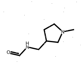 CN1CCC(CN[C]=O)C1